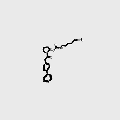 NCCCCCNC(=O)O[C@@H]1CCCN1C(=O)Cc1ccc(-c2ccccc2)cc1